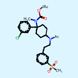 CC(=O)N(CCc1cccc(S(C)(=O)=O)c1)C1CCC(c2cccc(Cl)c2)(N(C)C(=O)OC(C)(C)C)CC1